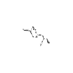 COc1ccc(CC(=O)CBr)cc1